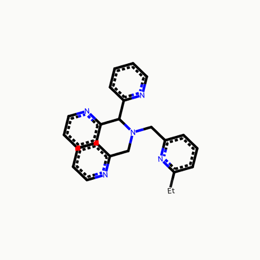 CCc1cccc(CN(Cc2ccccn2)C(c2ccccn2)c2ccccn2)n1